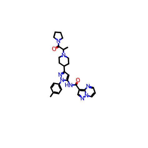 Cc1ccc(-n2nc(C3CCN(C(C)C(=O)N4CCCC4)CC3)cc2NC(=O)c2cnn3cccnc23)cc1